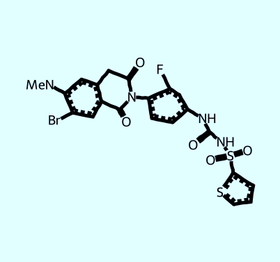 CNc1cc2c(cc1Br)C(=O)N(c1ccc(NC(=O)NS(=O)(=O)c3cccs3)cc1F)C(=O)C2